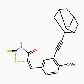 COc1ccc(C=C2SC(=S)NC2=O)cc1C#CC1C2CC3CC(C2)CC1C3